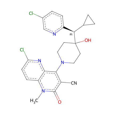 Cn1c(=O)c(C#N)c(N2CCC(O)([C@@H](c3ccc(Cl)cn3)C3CC3)CC2)c2nc(Cl)ccc21